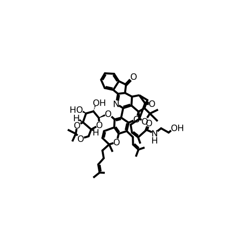 CC(C)=CCCC1(C)C=Cc2c(c(CC=C(C)C)c3c(c2O[C@H]2O[C@H]4COC(C)(C)O[C@@H]4[C@@H](O)[C@@H]2O)C2=C4C(C5CC6C(C)(C)OC(C/C=C(/C)C(=O)NCCO)(C5=O)C46O3)C3C(=O)c4ccccc4C3=N2)O1